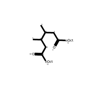 CCCCCCCCC(=O)CC(C)C(C)CC(=O)CCCCCCCC